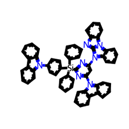 c1ccc([Si](c2ccccc2)(c2ccc(-n3c4ccccc4c4ccccc43)cc2)c2nc(-n3c4ccccc4c4ccccc43)cc(-n3c4ccccc4n4c5ccccc5nc34)n2)cc1